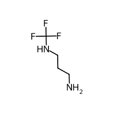 NCCCNC(F)(F)F